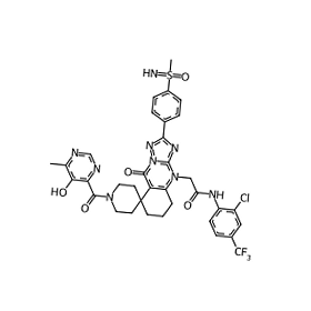 Cc1ncnc(C(=O)N2CCC3(CCCc4c3c(=O)n3nc(-c5ccc(S(C)(=N)=O)cc5)nc3n4CC(=O)Nc3ccc(C(F)(F)F)cc3Cl)CC2)c1O